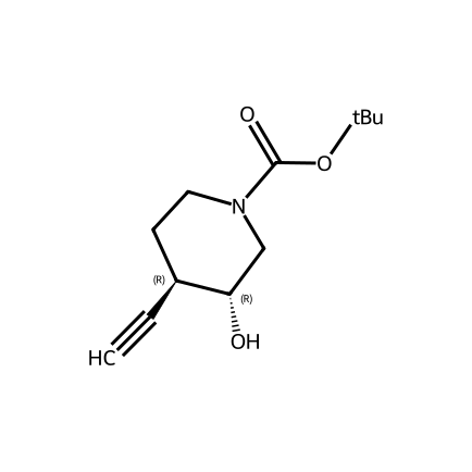 C#C[C@H]1CCN(C(=O)OC(C)(C)C)C[C@@H]1O